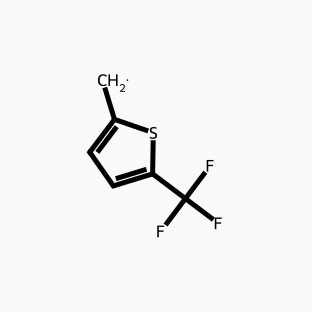 [CH2]c1ccc(C(F)(F)F)s1